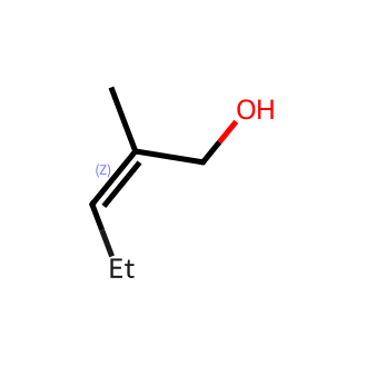 CC/C=C(/C)CO